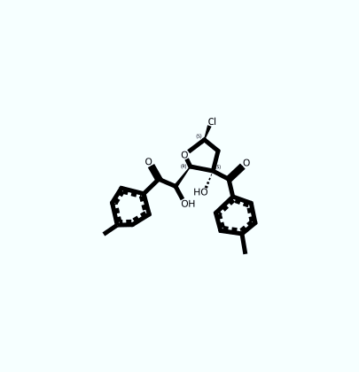 Cc1ccc(C(=O)C(O)[C@H]2O[C@@H](Cl)C[C@@]2(O)C(=O)c2ccc(C)cc2)cc1